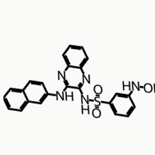 O=S(=O)(Nc1nc2ccccc2nc1Nc1ccc2ccccc2c1)c1cccc(NO)c1